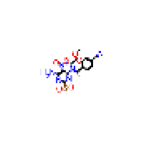 COC(=O)CN(c1nc(S(C)(=O)=O)nc(N)c1[N+](=O)[O-])C(C)c1ccc(C#N)cc1